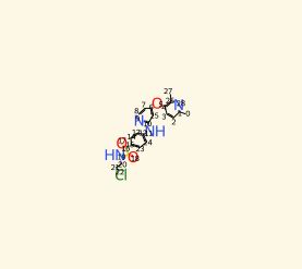 Cc1ccc(Oc2ccnc(Nc3ccc(S(=O)(=O)NCCCl)cc3)c2)c(C)n1